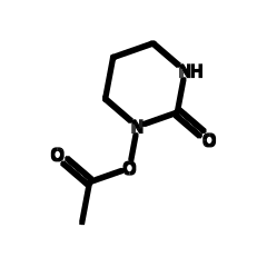 CC(=O)ON1CCCNC1=O